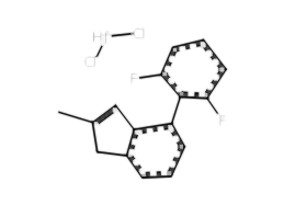 CC1=Cc2c(cccc2-c2c(F)cccc2F)C1.[Cl][Hf][Cl]